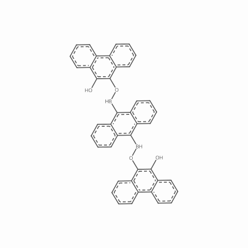 Oc1c(OBc2c3ccccc3c(BOc3c(O)c4ccccc4c4ccccc34)c3ccccc23)c2ccccc2c2ccccc12